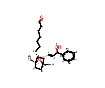 OCCCCCCC[C@@H]1[C@H](C=CC(O)c2ccccc2)[C@@H]2CC[C@H]1O2